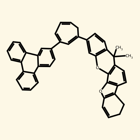 CC1(C)c2ccc(C3=CC(c4ccc5c6ccccc6c6ccccc6c5c4)=CC=CC3)cc2Oc2c1ccc1c3c(oc21)C=CCC3